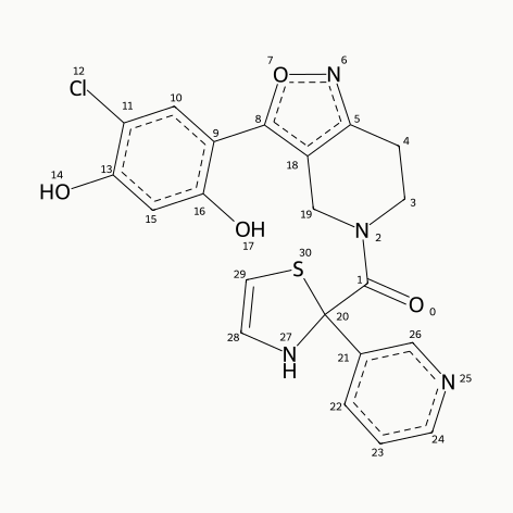 O=C(N1CCc2noc(-c3cc(Cl)c(O)cc3O)c2C1)C1(c2cccnc2)NC=CS1